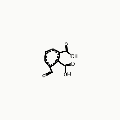 O=[C]c1cccc(C(=O)O)c1C(=O)O